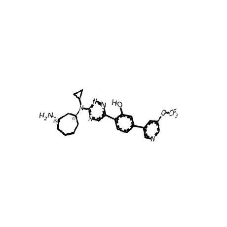 N[C@H]1CCCC[C@H](N(c2ncc(-c3ccc(-c4cncc(OC(F)(F)F)c4)cc3O)nn2)C2CC2)C1